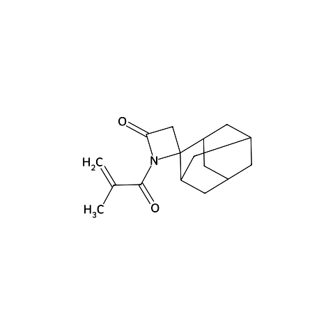 C=C(C)C(=O)N1C(=O)CC12C1CC3CC(C1)CC2C3